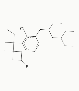 CCC(CC)CC(CC)Cc1cccc(C2(CC)CCC23CC(F)C3)c1Cl